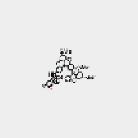 CSc1cc2c3c(c1)Oc1cc4c(cc1B3c1cc3c(cc1O2)Nc1cc(SC)cc2c1B3c1cccc3c5ccccc5n-2c13)B1c2ccccc2Oc2cc(SC)cc(c21)N4SC